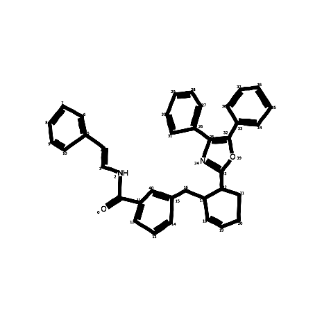 O=C(NC=Cc1ccccc1)c1cccc(CC2C=CCCC2c2nc(-c3ccccc3)c(-c3ccccc3)o2)c1